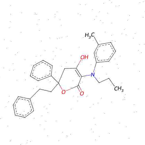 CCCN(C1=C(O)CC(CCc2ccccc2)(c2ccccc2)OC1=O)c1cccc(C)c1